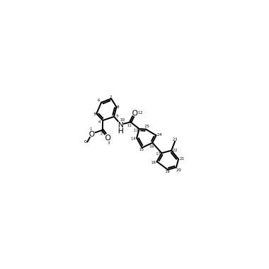 COC(=O)c1ccccc1NC(=O)c1ccc(-c2ccccc2C)cc1